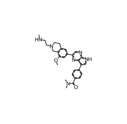 CNCCN1CCc2cc(-c3cnc4[nH]cc(-c5ccc(C(=O)N(C)C)cc5)c4n3)cc(OC)c2C1